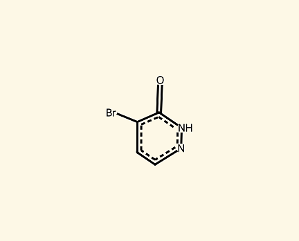 O=c1[nH]nccc1Br